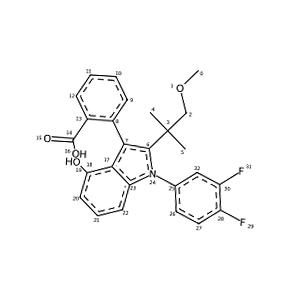 COCC(C)(C)c1c(-c2ccccc2C(=O)O)c2c(O)cccc2n1-c1ccc(F)c(F)c1